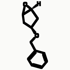 c1ccc(CO[C@H]2CC3O[C@H]3C2)cc1